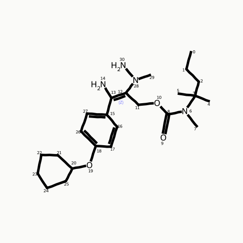 CCCC(C)(C)N(C)C(=O)OC/C(=C(/N)c1ccc(OC2CCCCC2)cc1)N(C)N